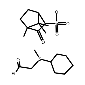 CC12CCC(C(S(=O)(=O)[O-])C1=O)C2(C)C.CCC(=O)C[S+](C)C1CCCCC1